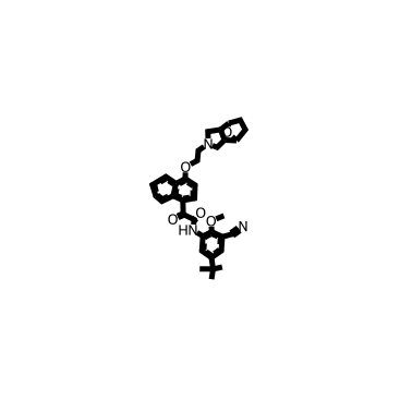 COc1c(C#N)cc(C(C)(C)C)cc1NC(=O)C(=O)c1ccc(OCCN2CC3C4CCC(O4)C3C2)c2ccccc12